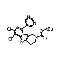 CC(C)(C)OC(=O)N1CCc2nc3c(Cl)c(Cl)cc(-c4cncnc4)n3c2C1